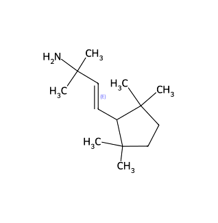 CC(C)(N)/C=C/C1C(C)(C)CCC1(C)C